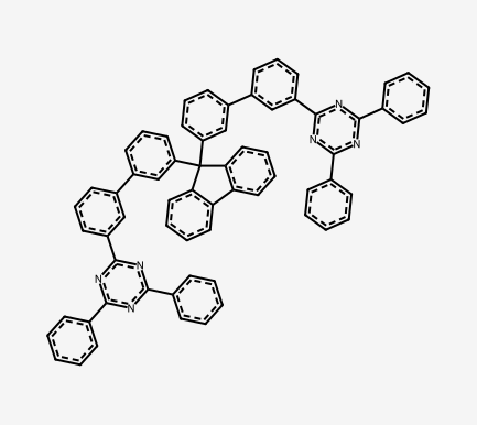 c1ccc(-c2nc(-c3ccccc3)nc(-c3cccc(-c4cccc(C5(c6cccc(-c7cccc(-c8nc(-c9ccccc9)nc(-c9ccccc9)n8)c7)c6)c6ccccc6-c6ccccc65)c4)c3)n2)cc1